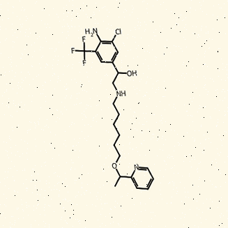 CC(OCCCCCCNCC(O)c1cc(Cl)c(N)c(C(F)(F)F)c1)c1ccccn1